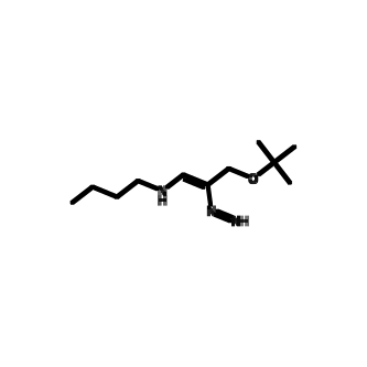 CCCCN/C=C(/COC(C)(C)C)N=N